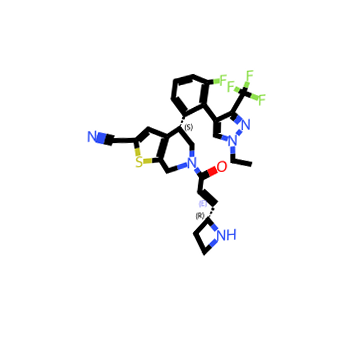 CCn1cc(-c2c(F)cccc2[C@@H]2CN(C(=O)/C=C/[C@H]3CCN3)Cc3sc(C#N)cc32)c(C(F)(F)F)n1